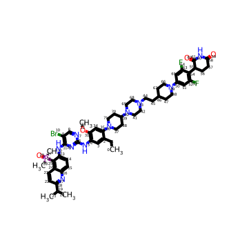 CCc1cc(Nc2ncc(Br)c(Nc3ccc4nc(C(C)C)ccc4c3P(C)(C)=O)n2)c(OC)cc1N1CCC(N2CCN(CCC3CCN(c4cc(F)c(C5CCC(=O)NC5=O)c(F)c4)CC3)CC2)CC1